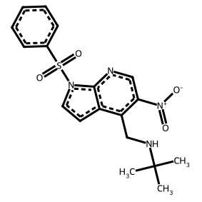 CC(C)(C)NCc1c([N+](=O)[O-])cnc2c1ccn2S(=O)(=O)c1ccccc1